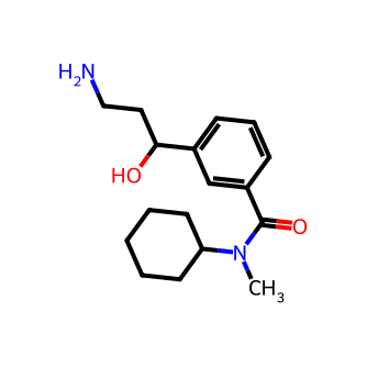 CN(C(=O)c1cccc(C(O)CCN)c1)C1CCCCC1